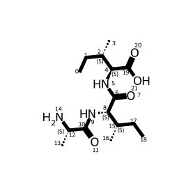 CC[C@H](C)[C@H](NC(=O)[C@@H](NC(=O)[C@H](C)N)[C@@H](C)CC)C(=O)O